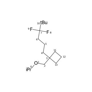 CC(C)OCC1(CCCC(F)(F)C(C)(C)C)CCC1